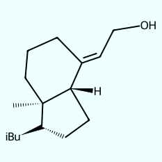 CC[C@H](C)[C@H]1CC[C@H]2/C(=C/CO)CCC[C@]12C